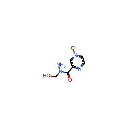 NN(CO)C(=O)c1c[n+]([O-])ccn1